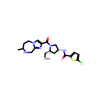 COC[C@@H]1C[C@@H](NC(=O)c2ccc(Cl)s2)CN1C(=O)c1cn2c(n1)CNC(C)CC2